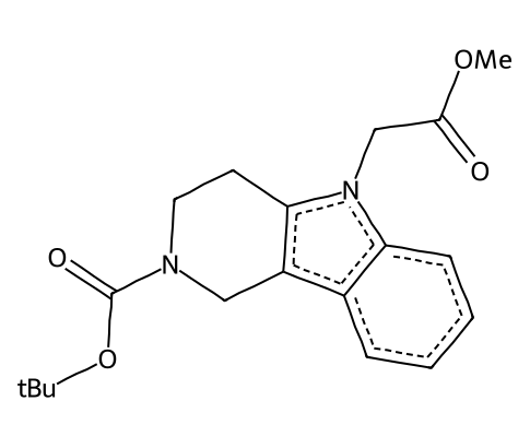 COC(=O)Cn1c2c(c3ccccc31)CN(C(=O)OC(C)(C)C)CC2